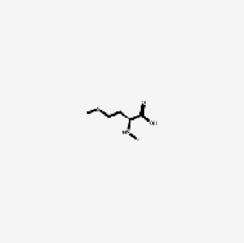 CSCC[C@H](NF)C(=O)O